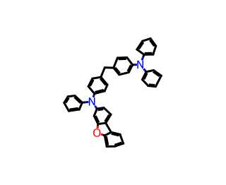 c1ccc(N(c2ccccc2)c2ccc(Cc3ccc(N(c4ccccc4)c4ccc5c(c4)oc4ccccc45)cc3)cc2)cc1